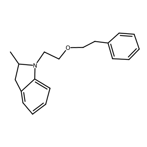 CC1Cc2ccccc2N1CCOCCc1ccccc1